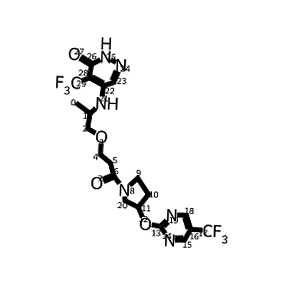 CC(COCCC(=O)N1CCC(Oc2ncc(C(F)(F)F)cn2)C1)Nc1cn[nH]c(=O)c1C(F)(F)F